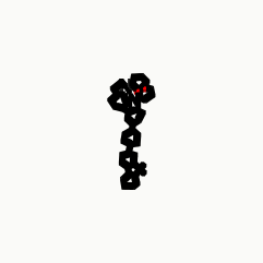 CC1(C)c2ccccc2-c2ccc(-c3ccc(-c4ccc5c(c4)c4ccc6ccn(-c7ccccc7)c6c4n5-c4ccccc4)cc3)cc21